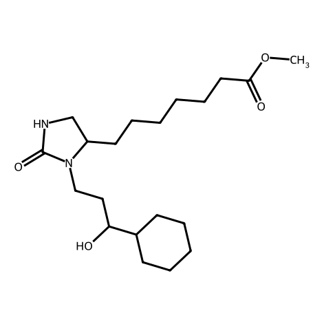 COC(=O)CCCCCCC1CNC(=O)N1CCC(O)C1CCCCC1